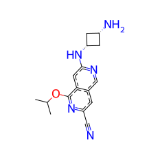 CC(C)Oc1nc(C#N)cc2cnc(N[C@H]3C[C@@H](N)C3)cc12